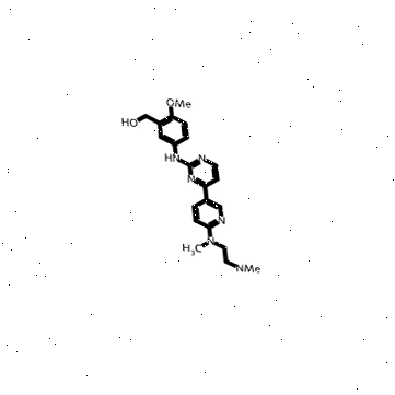 CNCCN(C)c1ccc(-c2ccnc(Nc3ccc(OC)c(CO)c3)n2)cn1